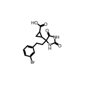 O=C1NC(=O)C(CCc2cccc(Br)c2)(C2CC2C(=O)O)N1